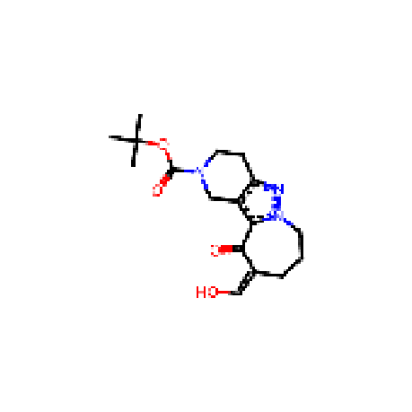 CC(C)(C)OC(=O)N1CCc2nn3c(c2C1)C(=O)C(=CO)CCC3